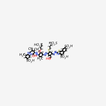 Cc1cc(N=Nc2c(C)c(C#N)c3nc4c(C)cc(S(=O)(=O)O)cc4n3c2O)c(OCCCS(=O)(=O)O)cc1N=Nc1cc(CO)c(N=Nc2nc3c(S(=O)(=O)O)cc4ccc(S(=O)(=O)O)cc4c3s2)cc1SCCCS(=O)(=O)O